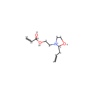 C=CCC1OCCN1CCOC(=O)C=C